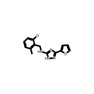 Cc1cccc(Cl)c1CNc1nc(-c2ccco2)n[nH]1